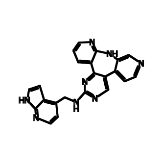 c1cnc2c(c1)-c1nc(NCc3ccnc4[nH]ccc34)ncc1-c1ccncc1N2